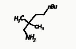 CCCCCCC(C)(C)CN